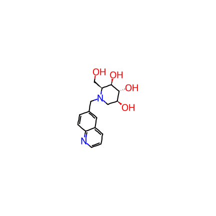 OC[C@H]1[C@@H](O)[C@H](O)[C@@H](O)CN1Cc1ccc2ncccc2c1